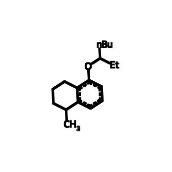 CCCCC(CC)Oc1cccc2c1CCCC2C